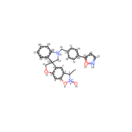 CC1c2cc3c(cc2O[N+]1=O)OCC31CN(Cc2ccc(-c3ccno3)cc2)c2ccccc21